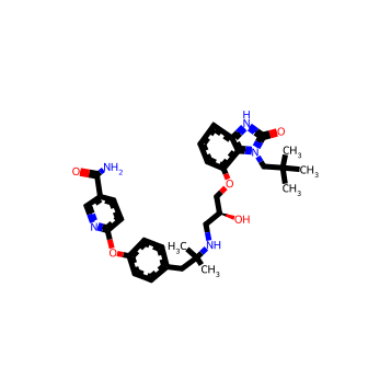 CC(C)(C)Cn1c(=O)[nH]c2cccc(OC[C@@H](O)CNC(C)(C)Cc3ccc(Oc4ccc(C(N)=O)cn4)cc3)c21